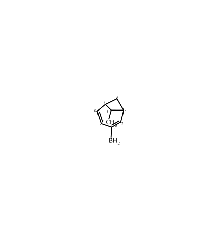 BC1=CC2CC(C=C1)C2C